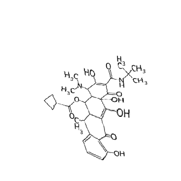 CC1c2cccc(O)c2C(=O)C2=C(O)C3(O)C(=O)C(C(=O)NC(C)(C)C)=C(O)C(N(C)C)C3C(OC(=O)C3CCC3)C21